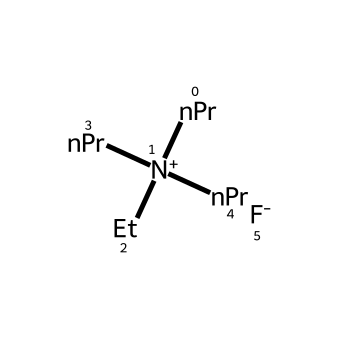 CCC[N+](CC)(CCC)CCC.[F-]